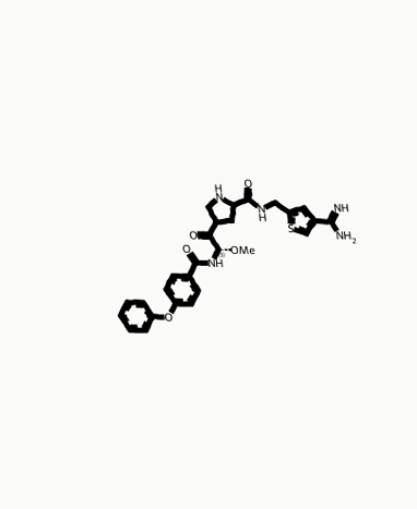 CO[C@H](NC(=O)c1ccc(Oc2ccccc2)cc1)C(=O)C1CNC(C(=O)NCc2cc(C(=N)N)cs2)C1